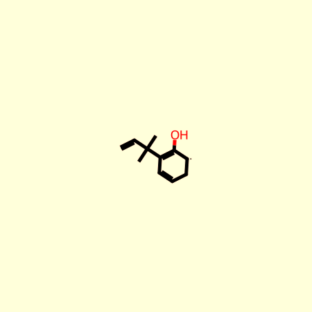 C=CC(C)(C)C1=C(O)[CH]CC=C1